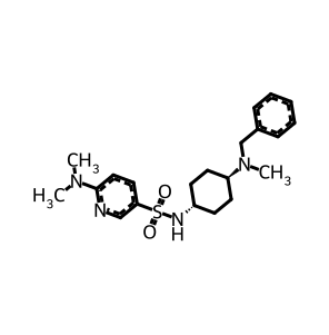 CN(C)c1ccc(S(=O)(=O)N[C@H]2CC[C@H](N(C)Cc3ccccc3)CC2)cn1